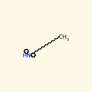 CCCCCCCCCCCCCCCCc1cccc(Nc2ccccc2)c1